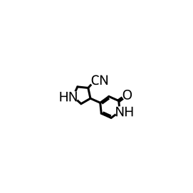 N#CC1CNCC1c1cc[nH]c(=O)c1